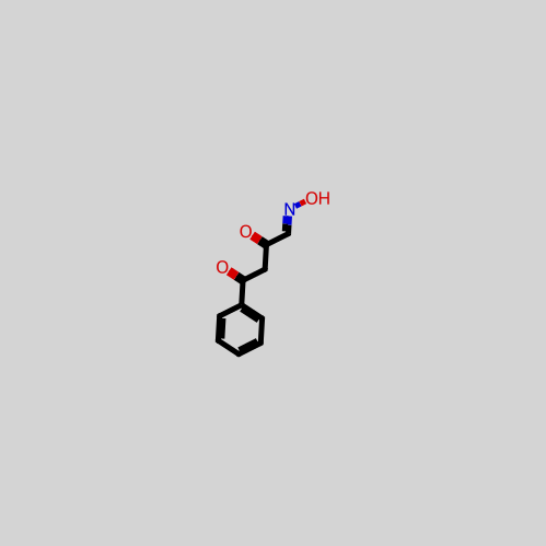 O=C(C=NO)CC(=O)c1ccccc1